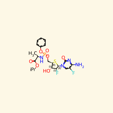 CC(C)OC(=O)C(C)NP(=O)(OC[C@H]1S[C@@H](n2cc(F)c(N)nc2=O)[C@@H](F)[C@@H]1O)Oc1ccccc1